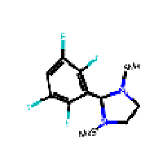 CSN1CCN(SC)C1c1c(F)c(F)cc(F)c1F